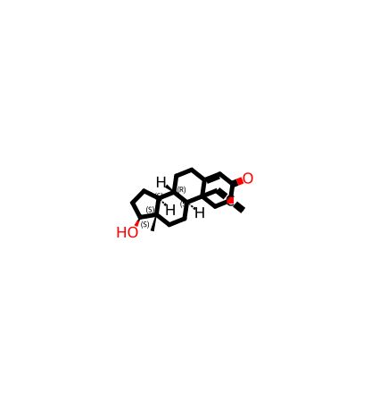 C=C=CC12CCC(=O)C=C1CC[C@@H]1[C@@H]2CC[C@]2(C)[C@@H](O)CC[C@@H]12